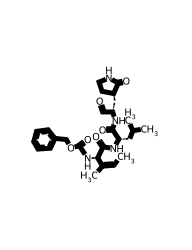 C/C=C(/C)[C@H](NC(=O)OCc1ccccc1)C(=O)N[C@@H](CC(C)C)C(=O)N[C@H](C=O)C[C@@H]1CCNC1=O